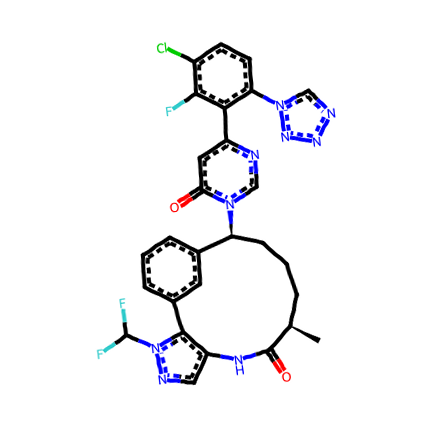 C[C@@H]1CCC[C@H](n2cnc(-c3c(-n4cnnn4)ccc(Cl)c3F)cc2=O)c2cccc(c2)-c2c(cnn2C(F)F)NC1=O